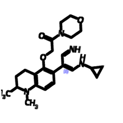 CC1CCc2c(ccc(/C(C=N)=C/NC3CC3)c2OCC(=O)N2CCOCC2)N1C